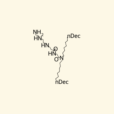 CCCCCCCCCCCCCCCCCCN(CCCCCCCCCCCCCCCCCC)C(=O)CNC(=O)CCNCCCNCCN